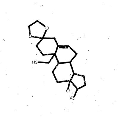 CC(=O)C1CCC2C3CC=C4CC5(CCC4(CS)C3CCC12C)OCCO5